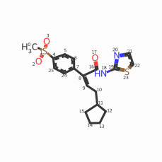 CS(=O)(=O)c1ccc(C(=CCC2CCCC2)C(=O)Nc2nccs2)cc1